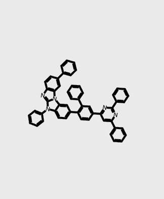 c1ccc(-c2ccc3nc4n(-c5ccccc5)c5ccc(-c6ccc(-c7cc(-c8ccccc8)nc(-c8ccccc8)n7)cc6-c6ccccc6)cc5n4c3c2)cc1